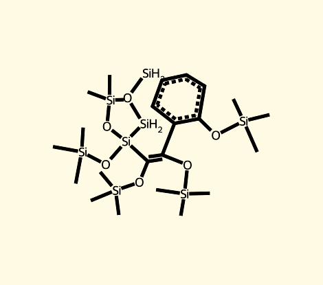 C[Si](C)(C)OC(=C(O[Si](C)(C)C)[Si](O[Si](C)(C)C)(O[Si](C)(C)C)[SiH2]O[SiH3])c1ccccc1O[Si](C)(C)C